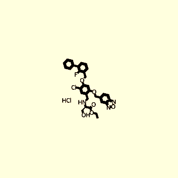 CCOC(=O)[C@@H](CO)NCc1cc(Cl)c(OCc2cccc(-c3ccccc3)c2F)cc1OCc1ccc2nonc2c1.Cl